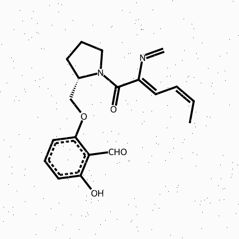 C=N/C(=C\C=C/C)C(=O)N1CCC[C@H]1COc1cccc(O)c1C=O